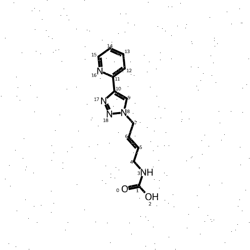 O=C(O)NC/C=C/Cn1cc(-c2ccccn2)nn1